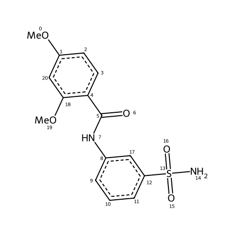 COc1ccc(C(=O)Nc2cccc(S(N)(=O)=O)c2)c(OC)c1